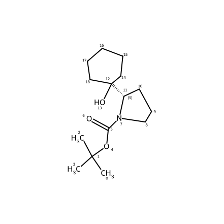 CC(C)(C)OC(=O)N1CCC[C@H]1C1(O)CCCCC1